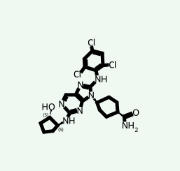 NC(=O)[C@H]1CC[C@@H](n2c(Nc3c(Cl)cc(Cl)cc3Cl)nc3cnc(N[C@H]4CCC[C@@H]4O)nc32)CC1